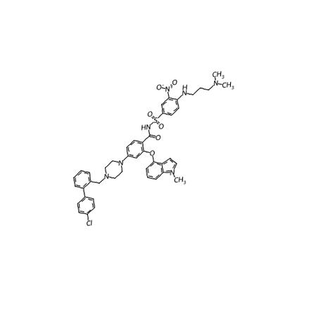 CN(C)CCCNc1ccc(S(=O)(=O)NC(=O)c2ccc(N3CCN(Cc4ccccc4-c4ccc(Cl)cc4)CC3)cc2Oc2cccc3c2ccn3C)cc1[N+](=O)[O-]